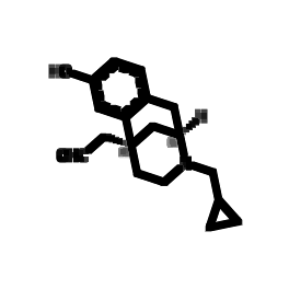 O=CC[C@]12CCN(CC3CC3)[C@H](Cc3ccc(O)cc31)C2